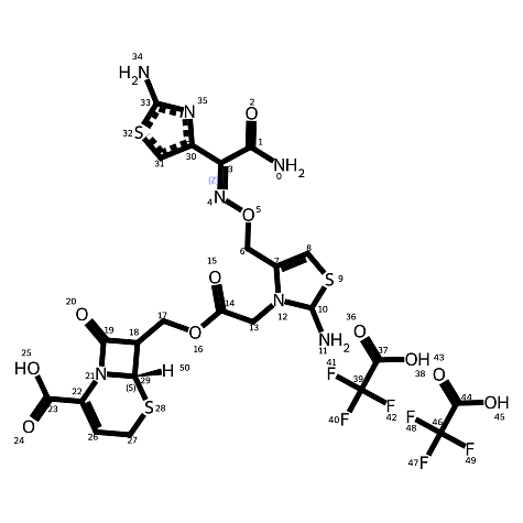 NC(=O)/C(=N\OCC1=CSC(N)N1CC(=O)OCC1C(=O)N2C(C(=O)O)=CCS[C@@H]12)c1csc(N)n1.O=C(O)C(F)(F)F.O=C(O)C(F)(F)F